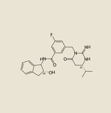 CC(C)[C@@H]1CC(=O)N(Cc2cc(F)cc(C(=O)NC3c4ccccc4C[C@H]3O)c2)C(=N)N1